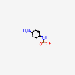 N[C@H]1C=CC(NS(=O)O)CC1